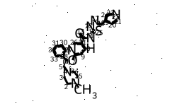 CN1CCN(C[C@H](Oc2ccc(C(=O)Nc3nnc(-c4ccncc4)s3)cn2)c2ccccc2)CC1